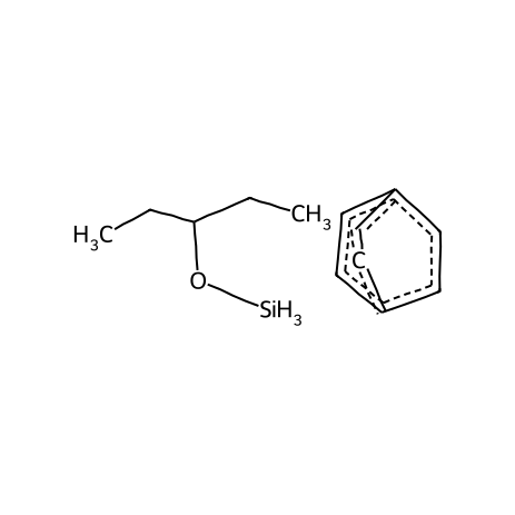 CCC(CC)O[SiH3].c1cc2ccc1cc2